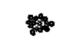 c1ccc(-n2c3ccccc3n3c4ccc5c6ccccc6n(-c6nc(-c7cccc([Si](c8ccccc8)(c8ccccc8)c8ccccc8)c7)nc(-n7c8ccccc8c8ccc9c(nc%10n(-c%11ccccc%11)c%11ccccc%11n9%10)c87)n6)c5c4nc23)cc1